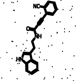 N#Cc1ccccc1C#CC(=O)NCCc1c[nH]c2ccccc12